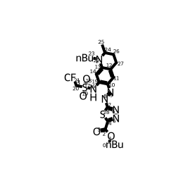 CCCCOC(=O)c1nnc(N=Nc2cc3c(cc2NS(=O)(=O)CC(F)(F)F)N(CCCC)C(C)CC3)s1